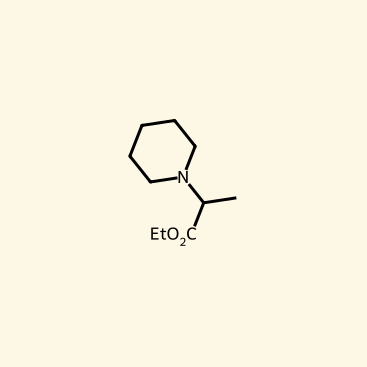 CCOC(=O)C(C)N1CCCCC1